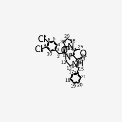 O=C(Cc1ccc(Cl)c(Cl)c1)N1CCN(Cc2ccccc2)[C@@H]2COC[C@H](N3CCCC3)C21